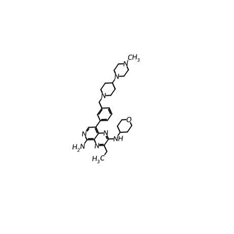 CCc1nc2c(N)ncc(-c3cccc(CN4CCC(N5CCN(C)CC5)CC4)c3)c2nc1NC1CCOCC1